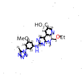 CCOCCN(C)c1nc(Nc2cc(OC)cc(-n3nnnc3C)c2)ncc1-c1cncc(C(=O)O)c1